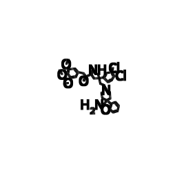 COc1cc(CC(=O)C(=N)CC(C)(CCN2CCC(C(N)=O)(c3ccccc3)CC2)c2ccc(Cl)c(Cl)c2)cc(OC)c1OC